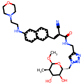 CO[C@H]1O[C@H](Cn2cc(CNC(=O)/C(C#N)=C/c3ccc4cc(NCCN5CCOCC5)ccc4c3)nn2)[C@@H](O)[C@H](O)[C@H]1C